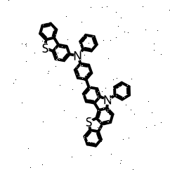 c1ccc(N(c2ccc(-c3ccc4c5c6sc7ccccc7c6ccc5n(-c5ccccc5)c4c3)cc2)c2ccc3sc4ccccc4c3c2)cc1